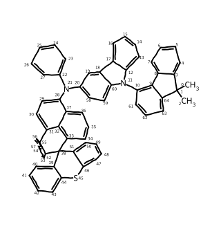 CC1(C)c2ccccc2-c2c(-n3c4ccccc4c4cc(N(c5ccccc5)c5ccc6c7c(cccc57)C5(c7ccccc7Sc7ccccc75)c5ccccc5-6)ccc43)cccc21